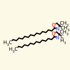 CCCCCCCCCCCCCC1=NC(C)(C)CO1.CCCCCCCCCCCCCCCC1=NC(C)(C)CO1